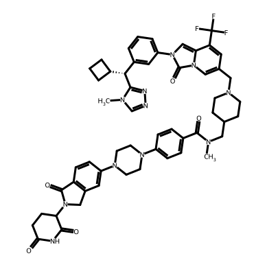 CN(CC1CCN(Cc2cc(C(F)(F)F)c3cn(-c4cccc([C@H](c5nncn5C)C5CCC5)c4)c(=O)n3c2)CC1)C(=O)c1ccc(N2CCN(c3ccc4c(c3)CN(C3CCC(=O)NC3=O)C4=O)CC2)cc1